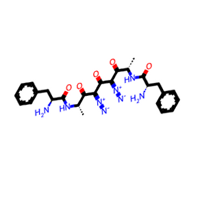 C[C@H](NC(=O)[C@@H](N)Cc1ccccc1)C(=O)C(=[N+]=[N-])C(=O)C(=[N+]=[N-])C(=O)[C@H](C)NC(=O)[C@@H](N)Cc1ccccc1